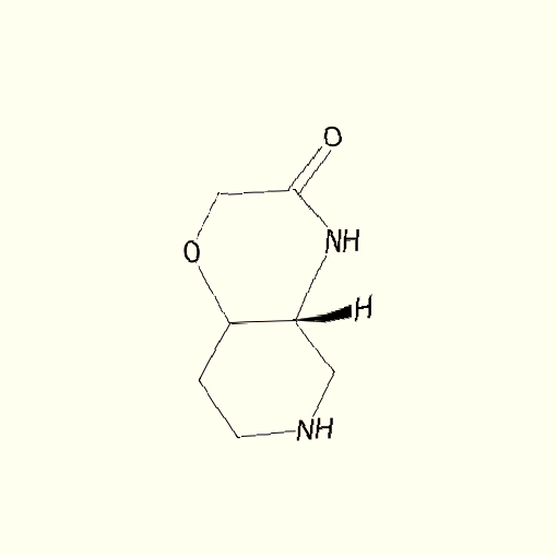 O=C1COC2CCNC[C@H]2N1